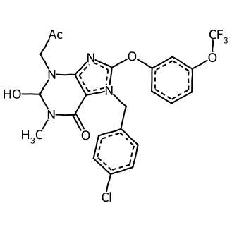 CC(=O)CN1c2nc(Oc3cccc(OC(F)(F)F)c3)n(Cc3ccc(Cl)cc3)c2C(=O)N(C)C1O